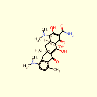 Cc1ccc(N(C)C)c2c1C(=O)C1=C(O)[C@]3(O)C(=O)C(C(N)=O)=C(O)[C@@H](N(C)C)[C@@H]3C[C@]1(C)C2